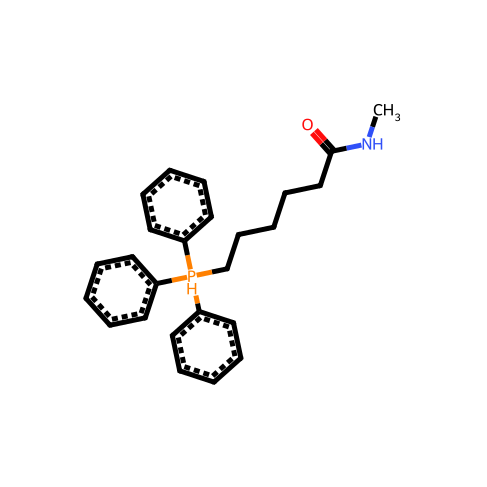 CNC(=O)CCCCC[PH](c1ccccc1)(c1ccccc1)c1ccccc1